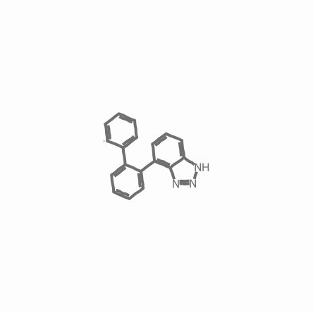 [c]1ccccc1-c1ccccc1-c1cccc2[nH]nnc12